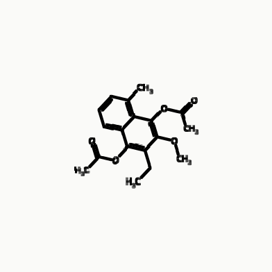 CCc1c(OC)c(OC(C)=O)c2c(C)cccc2c1OC(C)=O